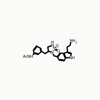 CC(=O)Nc1cccc(CC2CNS(=O)(=O)N2Cc2ccc3[nH]cc(CCN)c3c2)c1